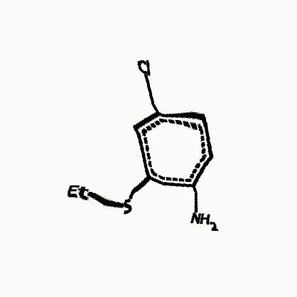 CCSc1cc(Cl)ccc1N